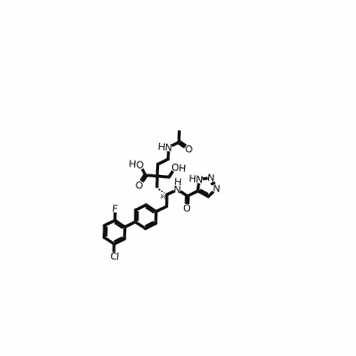 CC(=O)NCCC(CO)(C[C@@H](Cc1ccc(-c2cc(Cl)ccc2F)cc1)NC(=O)c1cnn[nH]1)C(=O)O